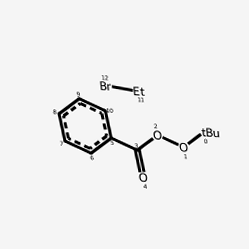 CC(C)(C)OOC(=O)c1ccccc1.CCBr